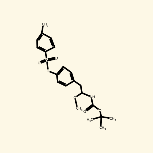 COC(Cc1ccc(OS(=O)(=O)c2ccc(C)cc2)cc1)NC(=O)OC(C)(C)C